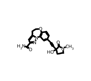 CN1CCC(O)(C#Cc2ccc3c(c2)-n2nc(C(N)=O)cc2CCO3)C1=O